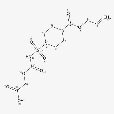 C=CCOC(=O)C1CCN(S(=O)(=O)NC(=O)OCC(=O)O)CC1